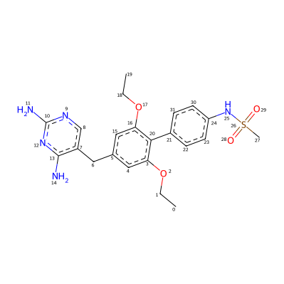 CCOc1cc(Cc2cnc(N)nc2N)cc(OCC)c1-c1ccc(NS(C)(=O)=O)cc1